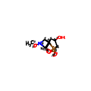 CON1CC2(CC(O)CS2(=O)=O)C1